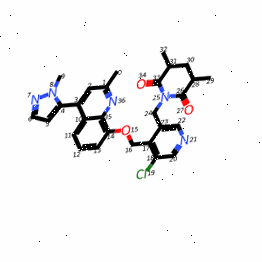 Cc1cc(-c2ccnn2C)c2cccc(OCc3c(Cl)cncc3CN3C(=O)C(C)CC(C)C3=O)c2n1